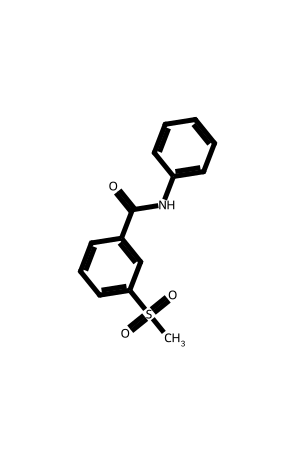 CS(=O)(=O)c1cccc(C(=O)Nc2ccccc2)c1